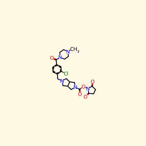 CN1CCN(C(=O)c2ccc(CN3CC4CN(C(=O)ON5C(=O)CCC5=O)CC4C3)c(Cl)c2)CC1